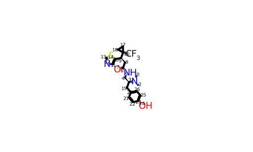 CN(C)[C@H](CNC(=O)C[C@@H](c1cncs1)C1(C(F)(F)F)CC1)Cc1ccc(O)cc1